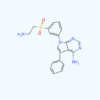 NCCS(=O)(=O)c1cccc(-n2cc(-c3ccccc3)c3c(N)ncnc32)c1